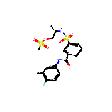 Cc1cc(NC(=O)c2cccc(S(=O)(=O)N[C@H](C)COS(C)(=O)=O)c2)ccc1F